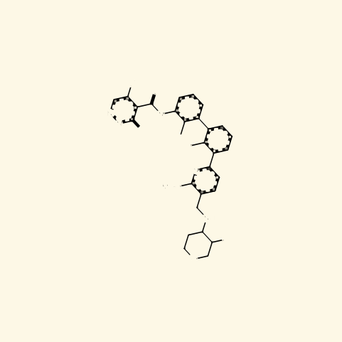 COc1nc(-c2cccc(-c3cccc(NC(=O)c4c(Cl)cn[nH]c4=O)c3C)c2Cl)ccc1CNC1CCOCC1O